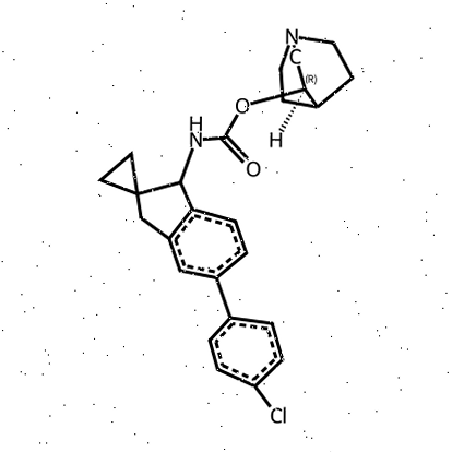 O=C(NC1c2ccc(-c3ccc(Cl)cc3)cc2CC12CC2)O[C@H]1CN2CCC1CC2